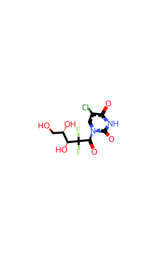 O=C(n1cc(Cl)c(=O)[nH]c1=O)C(F)(F)[C@H](O)[C@@H](O)CO